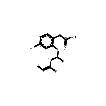 C/C=C(/F)OC(C)Oc1cc(F)ccc1CC(O)=S